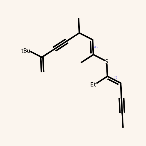 C=C(C#CC(C)/C=C(\C)S/C(=C/C#CC)CC)C(C)(C)C